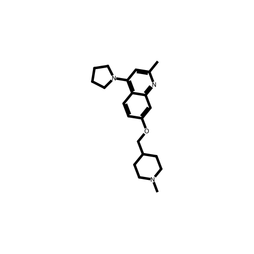 Cc1cc(N2CCCC2)c2ccc(OCC3CCN(C)CC3)cc2n1